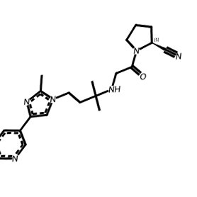 Cc1nc(-c2cccnc2)cn1CCC(C)(C)NCC(=O)N1CCC[C@H]1C#N